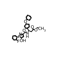 CCOC(=O)CC(NC(=O)c1cc(O)n(-c2ccccc2F)n1)c1ccc(Oc2ccccc2)cc1